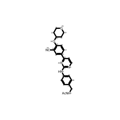 CC(=O)NCc1ccc(Nc2nccc(-c3ccc(OC4CCOCC4)c(C#N)c3)n2)cc1